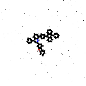 c1ccc(-c2c3ccccc3c(-c3ccc(-c4cccc5c(-c6ccccc6)cc(-c6ccc7c(c6)oc6ccccc67)nc45)cc3)c3ccccc23)cc1